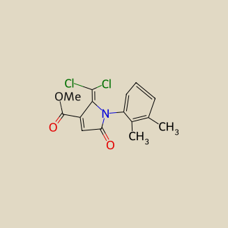 COC(=O)C1=CC(=O)N(c2cccc(C)c2C)C1=C(Cl)Cl